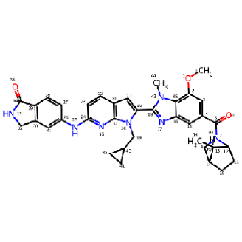 COc1cc(C(=O)N2CC3CCC2[C@@H]3C)cc2nc(-c3cc4ccc(Nc5ccc6c(c5)CNC6=O)nc4n3CC3CC3)n(C)c12